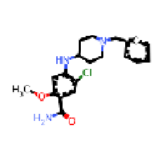 COc1cc(NC2CCN(Cc3ccccc3)CC2)c(Cl)cc1C(N)=O